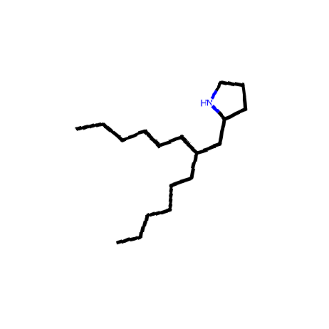 CCCCCCC(CCCCCC)CC1CCCN1